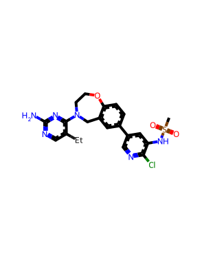 CCc1cnc(N)nc1N1CCOc2ccc(-c3cnc(Cl)c(NS(C)(=O)=O)c3)cc2C1